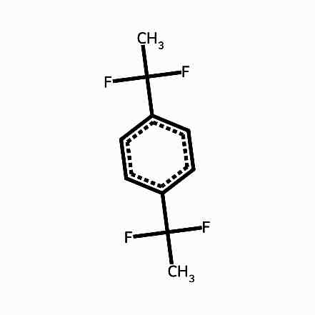 CC(F)(F)c1ccc(C(C)(F)F)cc1